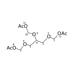 CC(=O)OCOCC(COCOC(C)=O)OCOC(C)=O